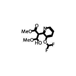 COC(=O)C(c1ncccc1OC(F)F)C(O)OC